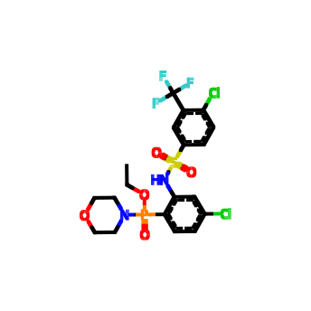 CCOP(=O)(c1ccc(Cl)cc1NS(=O)(=O)c1ccc(Cl)c(C(F)(F)F)c1)N1CCOCC1